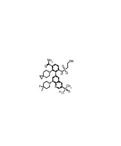 CP(C)(=O)c1cnc2c(N3CCC(F)(F)CC3)cc(-c3c(NS(=O)(=O)CCO)ccc(C(N)=O)c3N3CCC4(CC3)CC4)cc2c1